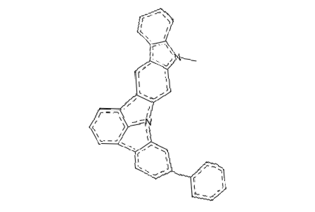 Cn1c2ccccc2c2cc3c4cccc5c6ccc(-c7ccccc7)cc6n(c3cc21)c54